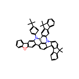 CC(C)(C)c1ccc(N2B3c4cc5c(cc4-n4c6ccc7c(c6c6ccc(c3c64)-c3cc4oc6ccccc6c4cc32)-c2ccccc2C7(C)C)-c2ccccc2C5(C)C)cc1